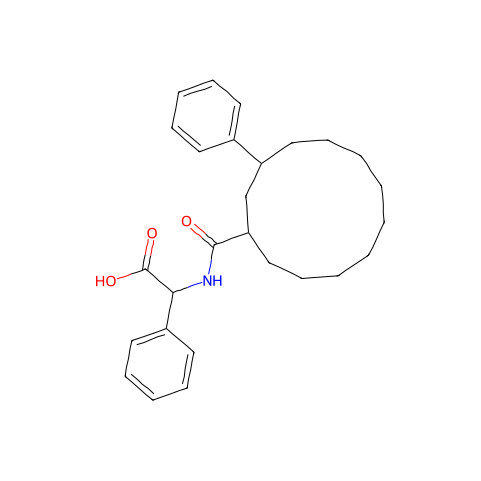 O=C(NC(C(=O)O)c1ccccc1)C1CCCCCCCCCC(c2ccccc2)C1